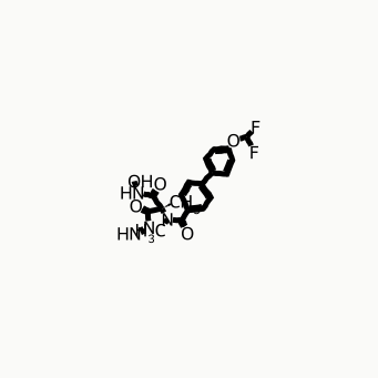 CN(C(=O)c1ccc(-c2ccc(OC(F)F)cc2)cc1)[C@@](C)(C(=O)N=N)C(=O)NO